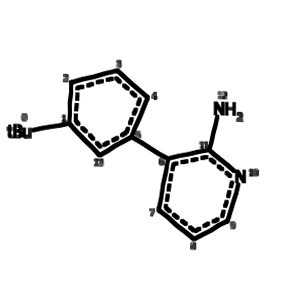 CC(C)(C)c1cccc(-c2cccnc2N)c1